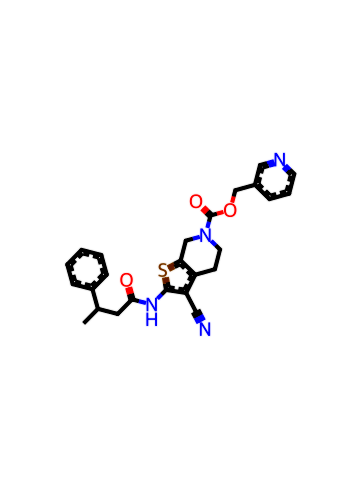 CC(CC(=O)Nc1sc2c(c1C#N)CCN(C(=O)OCc1cccnc1)C2)c1ccccc1